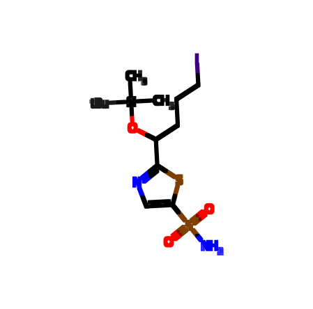 CC(C)(C)[Si](C)(C)OC(CCCI)c1ncc(S(N)(=O)=O)s1